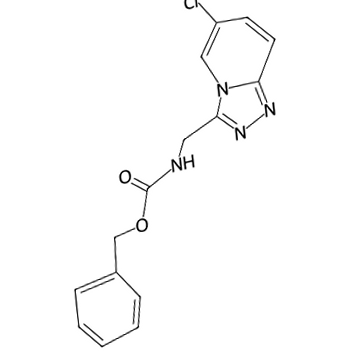 O=C(NCc1nnc2ccc(Cl)cn12)OCc1ccccc1